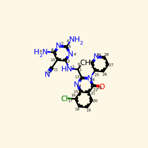 CC(Nc1nc(N)nc(N)c1C#N)c1nc2c(Cl)cccc2c(=O)n1-c1cccnc1